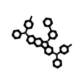 Cc1ccc(N(c2ccccc2)c2ccc3cc4c5ccc(N(c6ccccc6)c6ccc(C)cc6)cc5n(-c5cccc(-c6ccccc6)c5)c4cc3c2)cc1